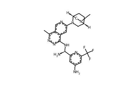 Cc1nnc(N[C@H](N)c2cc(N)cc(C(F)(F)F)n2)c2cc(N3C[C@H]4CC[C@@H]3CN4C)ncc12